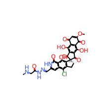 CNCC(=O)N/N=C/c1cc2c(Cl)c3c(c(O)c2c(=O)[nH]1)[C@@]1(CC3)C(=O)c2c(O)c3c(c(O)c2C1=O)C(=O)C(OC)=CC3=O